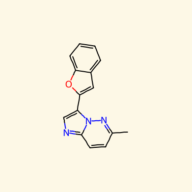 Cc1ccc2ncc(-c3cc4ccccc4o3)n2n1